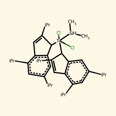 CC(C)C1=Cc2c(C(C)C)cc(C(C)C)cc2[CH]1[Ti]([Cl])([Cl])([CH]1C(C(C)C)=Cc2c(C(C)C)cc(C(C)C)cc21)[SiH](C)C